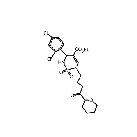 CCOC(=O)C1=CN(CCCC(=O)C2CCCCO2)S(=O)(=O)NC1c1ccc(Cl)cc1Cl